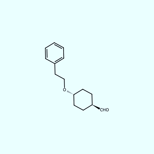 O=C[C@H]1CC[C@H](OCCc2ccccc2)CC1